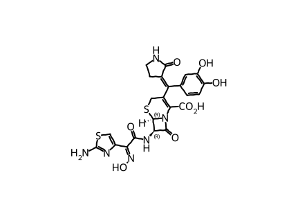 Nc1nc(C(=NO)C(=O)N[C@@H]2C(=O)N3C(C(=O)O)=C(C(=C4CCNC4=O)c4ccc(O)c(O)c4)CS[C@H]23)cs1